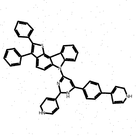 C1=CC(c2ccc(C3=CC(n4c5ccccc5c5c6sc(-c7ccccc7)c(-c7ccccc7)c6ccc54)=NC(C4=CCNC=C4)N3)cc2)=CCN1